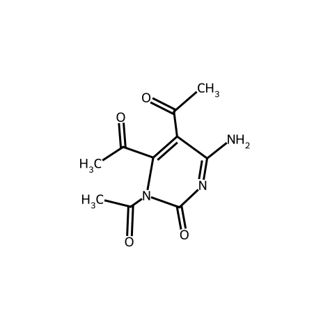 CC(=O)c1c(N)nc(=O)n(C(C)=O)c1C(C)=O